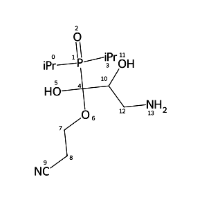 CC(C)P(=O)(C(C)C)C(O)(OCCC#N)C(O)CN